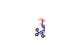 C=C(CN1CCN(C(=O)CCC(=O)O)CC1)CN(CCC(c1ccccc1)c1ccccc1)C(=O)Nc1cccc(C)c1